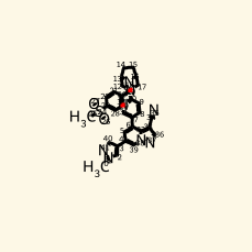 Cn1cc(-c2cc(-c3ccc(N4CC5CCC(C4)N5Cc4ccc(S(C)(=O)=O)cc4)nc3)c3c(C#N)cnn3c2)cn1